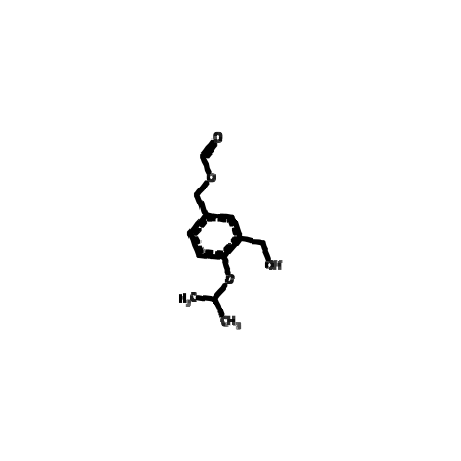 CC(C)Oc1ccc(COC=O)cc1CO